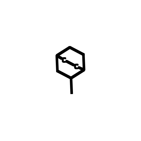 CC1CC2CCC1CC2